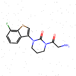 NCC(=O)N1CCCN(c2csc3c(F)cccc23)C1=O